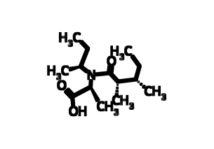 CC[C@H](C)[C@H](C)C(=O)N([C@@H](C)CC)[C@@H](C)C(=O)O